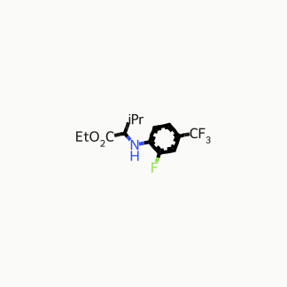 CCOC(=O)C(Nc1ccc(C(F)(F)F)cc1F)C(C)C